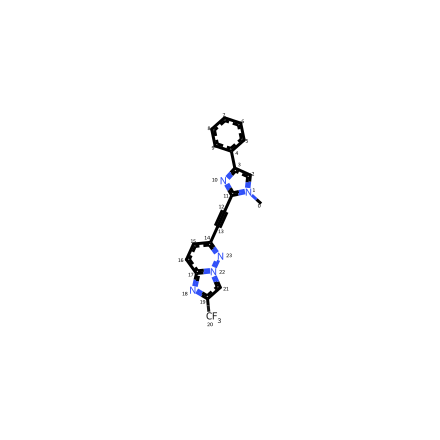 Cn1cc(-c2ccccc2)nc1C#Cc1ccc2nc(C(F)(F)F)cn2n1